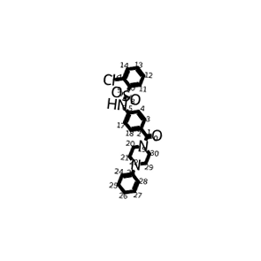 O=C(c1ccc(NS(=O)(=O)c2ccccc2Cl)cc1)N1CCN(C2=CCCC=C2)CC1